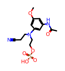 COc1cc(NC(C)=O)cc(N(CCC#N)CCOS(=O)(=O)O)c1